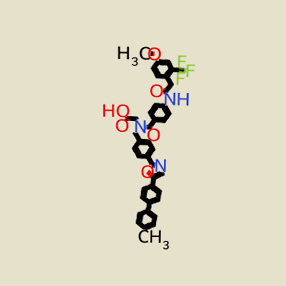 COc1ccc(CC(=O)Nc2ccc(C(=O)N(CC(=O)O)Cc3ccc(-c4ncc(-c5ccc(-c6ccc(C)cc6)cc5)o4)cc3)cc2)c(C(F)(F)F)c1